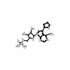 Nc1ncnc2c1c(-c1cccs1)cn2C1OC(COP(=O)(O)O)C(O)C1O